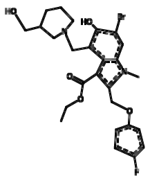 CCOC(=O)c1c(COc2ccc(F)cc2)n(C)c2cc(Br)c(O)c(CN3CCCC(CO)C3)c12